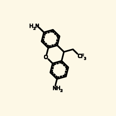 Nc1ccc2c(c1)Oc1cc(N)ccc1C2CC(F)(F)F